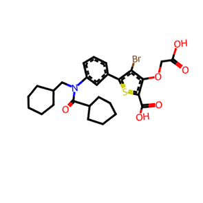 O=C(O)COc1c(C(=O)O)sc(-c2cccc(N(CC3CCCCC3)C(=O)C3CCCCC3)c2)c1Br